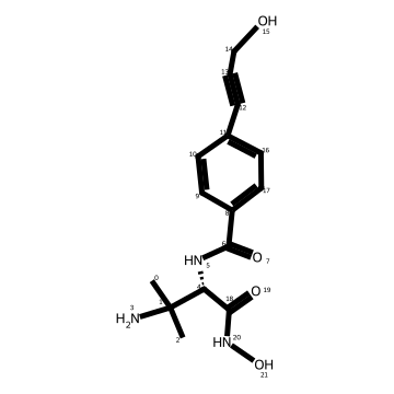 CC(C)(N)[C@H](NC(=O)c1ccc(C#CCO)cc1)C(=O)NO